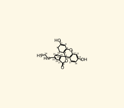 O=C1OC2(C3=C(C=C(O)CC3)Oc3cc(O)ccc32)c2ccc(NCS)cc21